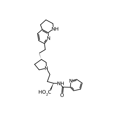 O=C(N[C@H](CCN1CC[C@H](CCc2ccc3c(n2)NCCC3)C1)C(=O)O)c1ccccn1